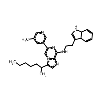 CCCCCC(C)c1cnc2c(NCCC3=CNC4C=CC=CC34)nc(-c3cncc(C)c3)cn12